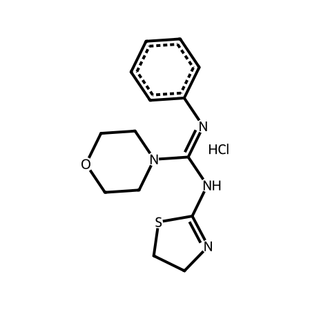 Cl.c1ccc(N=C(NC2=NCCS2)N2CCOCC2)cc1